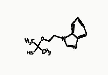 CC(C)(S)OCCn1cnc2ccccc21